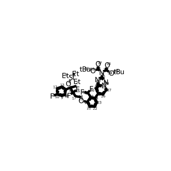 CC[Si](CC)(CC)OC(C)(c1ccc(F)cc1)C(F)(F)CCOc1cccc(-c2ccn3nc(N(C(=O)OC(C)(C)C)C(=O)OC(C)(C)C)nc3c2)c1C(F)F